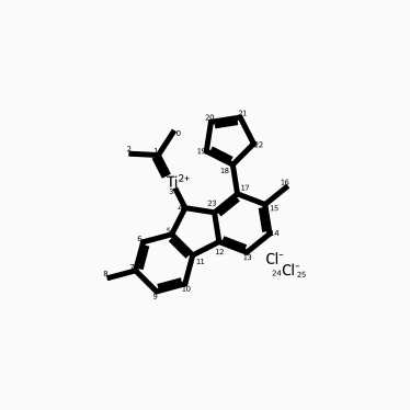 C[C](C)=[Ti+2][CH]1c2cc(C)ccc2-c2ccc(C)c(C3=CC=CC3)c21.[Cl-].[Cl-]